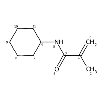 C=C(C)C(=O)NC1CCCCC1